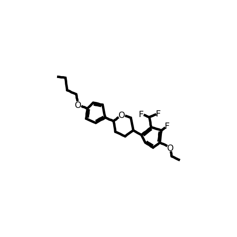 CCCCOc1ccc(C2CCC(c3ccc(OCC)c(F)c3C(F)F)CO2)cc1